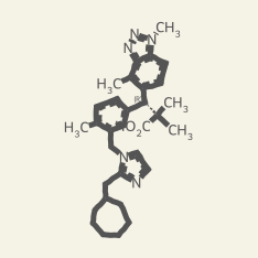 Cc1ccc([C@H](c2ccc3c(nnn3C)c2C)C(C)(C)C(=O)O)cc1Cn1ccnc1CC1CCCCCC1